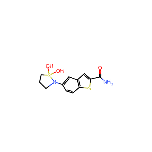 NC(=O)c1cc2cc(N3CCCS3(O)O)ccc2s1